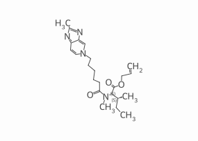 C=CCOC(=O)[C@H]([C@@H](C)CC)N(C)C(=O)CCCCCn1ccc2nc(C)nc-2c1